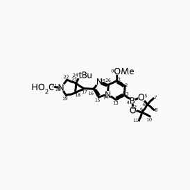 COc1cc(B2OC(C)(C)C(C)(C)O2)cn2cc(C3C4CN(C(=O)O)CC43C(C)(C)C)nc12